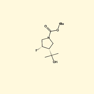 CC(C)(C)OC(=O)N1C[C@@H](F)[C@@H](C(C)(C)O)C1